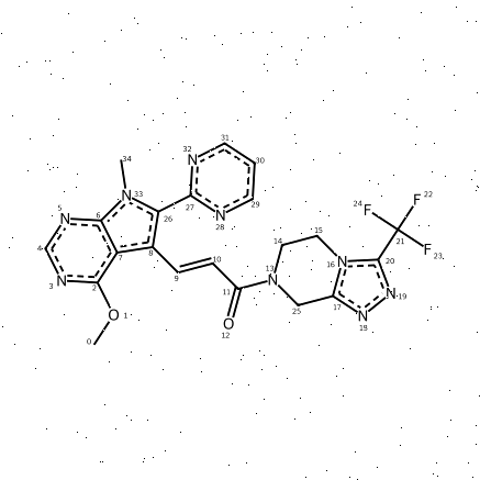 COc1ncnc2c1c(/C=C/C(=O)N1CCn3c(nnc3C(F)(F)F)C1)c(-c1ncccn1)n2C